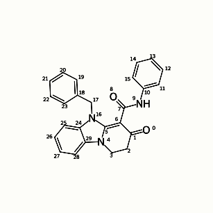 O=C1CCN2C(=C1C(=O)Nc1ccccc1)N(Cc1ccccc1)c1ccccc12